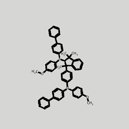 COc1ccc(N(c2ccc(-c3ccccc3)cc2)c2ccc(C3(C)c4ccccc4C(C)(C)C3N(c3ccc(OC)cc3)c3ccc(-c4ccccc4)cc3)cc2)cc1